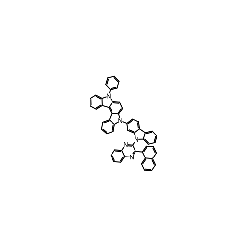 c1ccc(-n2c3ccccc3c3c4c5ccccc5n(-c5ccc6c7ccccc7n(-c7nc8ccccc8nc7-c7cccc8ccccc78)c6c5)c4ccc32)cc1